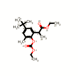 CCOC(=O)Oc1c(C)cc(C(C)(C)C)cc1C(C)C(=O)OCC